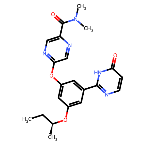 CC[C@H](C)Oc1cc(Oc2cnc(C(=O)N(C)C)cn2)cc(-c2nccc(=O)[nH]2)c1